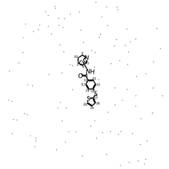 O=C(NC1CC2CCN(CC2)C1)c1ccc(Sc2cccs2)cc1